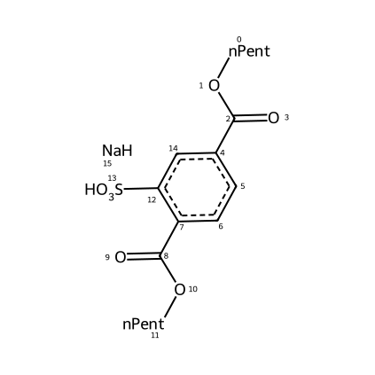 CCCCCOC(=O)c1ccc(C(=O)OCCCCC)c(S(=O)(=O)O)c1.[NaH]